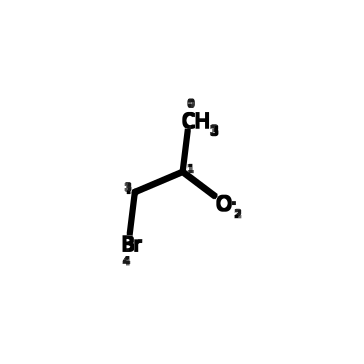 CC([O])[CH]Br